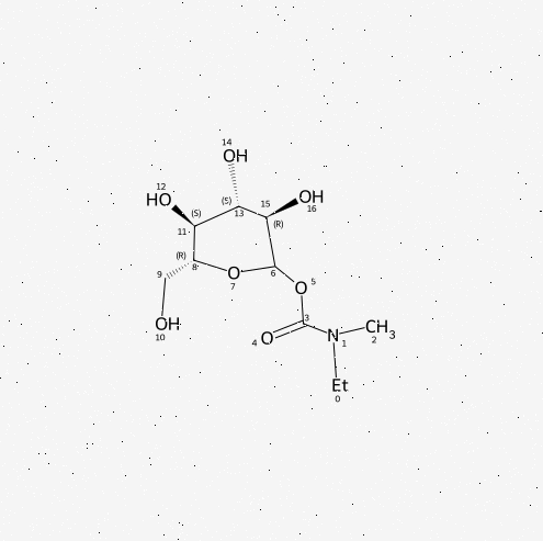 [CH2]CN(C)C(=O)OC1O[C@H](CO)[C@@H](O)[C@H](O)[C@H]1O